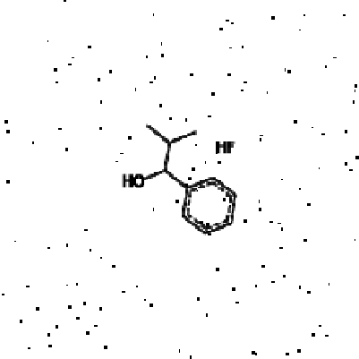 CC(C)C(O)c1ccccc1.F